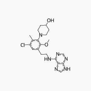 COc1c(CCNc2ncnc3[nH]cnc23)cc(Cl)c(C)c1N1CCC(O)CC1